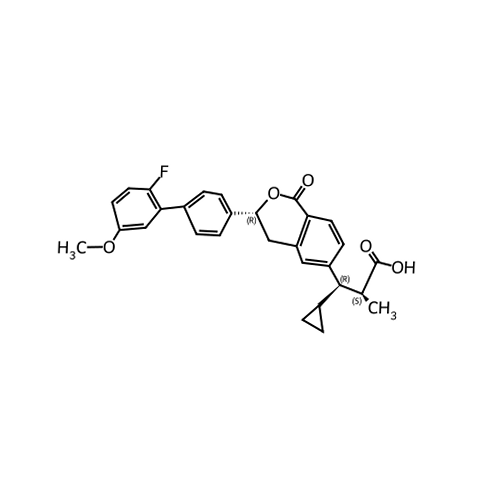 COc1ccc(F)c(-c2ccc([C@H]3Cc4cc([C@H](C5CC5)[C@H](C)C(=O)O)ccc4C(=O)O3)cc2)c1